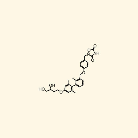 Cc1cc(OCC[C@H](O)CO)cc(C)c1-c1cccc(COc2ccc(Cn3oc(=O)[nH]c3=O)cc2)c1C